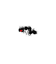 Cn1c(N2CCO[C@@H](c3ccc(NC45CCCC6CC(CC6C4)C5)cc3)C2)nc(-c2ccncc2F)cc1=O